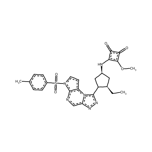 CC[C@@H]1C[C@H](Nc2c(OC)c(=O)c2=O)CC1c1nnc2cnc3c(ccn3S(=O)(=O)c3ccc(C)cc3)n12